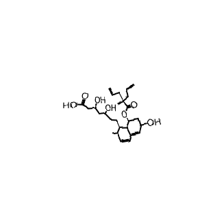 C=CCC(C)(CC=C)C(=O)OC1CC(O)C=C2C=CC(C)C(CCC(O)CC(O)CC(=O)O)C21